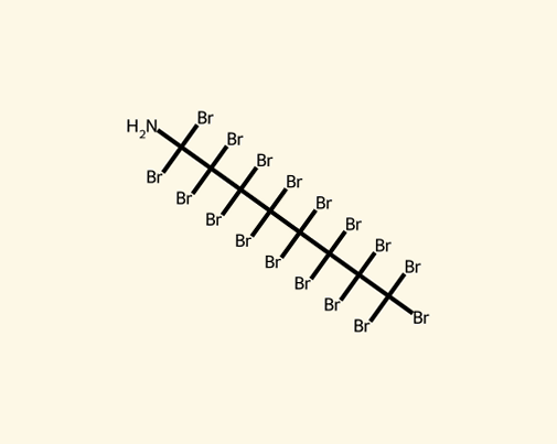 NC(Br)(Br)C(Br)(Br)C(Br)(Br)C(Br)(Br)C(Br)(Br)C(Br)(Br)C(Br)(Br)C(Br)(Br)Br